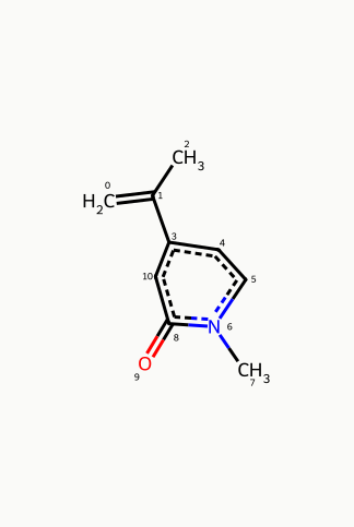 C=C(C)c1ccn(C)c(=O)c1